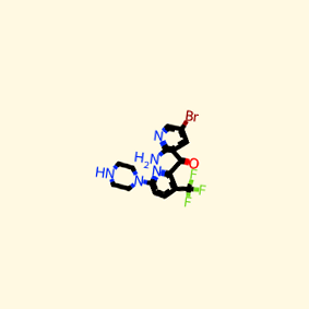 Nc1ncc(Br)cc1C(=O)c1nc(N2CCNCC2)ccc1C(F)(F)F